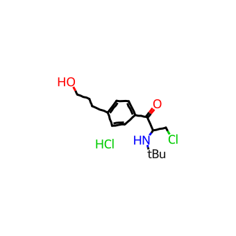 CC(C)(C)NC(CCl)C(=O)c1ccc(CCCO)cc1.Cl